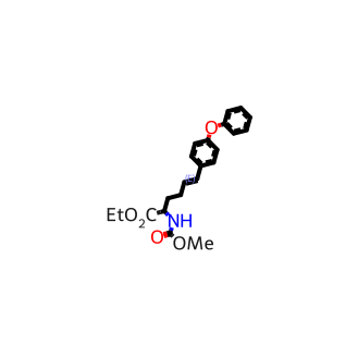 CCOC(=O)C(CC/C=C/c1ccc(Oc2ccccc2)cc1)NC(=O)OC